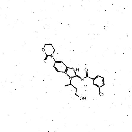 CC(CCO)n1c(=NC(=O)c2cccc(C#N)c2)[nH]c2cc(N3CCCOC3=O)ccc21